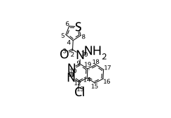 NN(C(=O)c1ccsc1)c1nnc(Cl)c2ccccc12